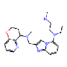 CCN(CCNC)c1cccc2nc(CN(C)C3CCOc4cccnc43)cn12